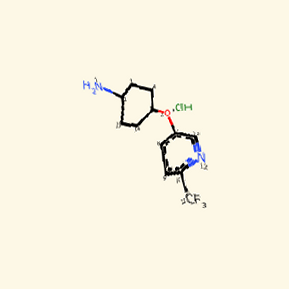 Cl.NC1CCC(Oc2ccc(C(F)(F)F)nc2)CC1